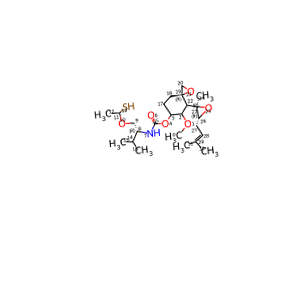 COC1C(OC(=O)N[C@@H](COC(C)S)C(C)C)CC[C@]2(CO2)C1[C@@]1(C)O[C@@H]1CC=C(C)C